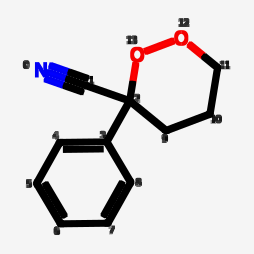 N#CC1(c2ccccc2)CCCOO1